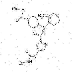 CCNC(=O)Nc1cnn(-c2nc3c(c(N4CCOC[C@@H]4C)n2)CCN(C(=O)OC(C)(C)C)C3)c1